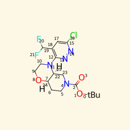 CC(C)(C)OC(=O)N1CC[C@H]2OCCN(c3nnc(Cl)cc3C(F)F)[C@H]2C1